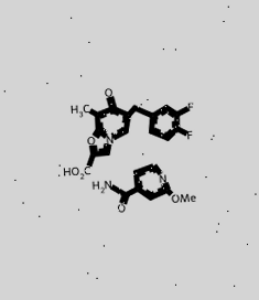 COc1cc(C(N)=O)ccn1.Cc1c(=O)c(Cc2ccc(F)c(F)c2)cn2cc(C(=O)O)oc12